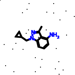 Cc1nn(CC2CC2)c2cccc(N)c12